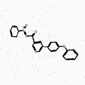 O=C(N=[SH](=O)C1C=CC=CC1)c1cncc(-c2ccc(Oc3ccccc3)cc2)c1